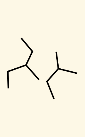 CCC(C)C.CCC(C)CC